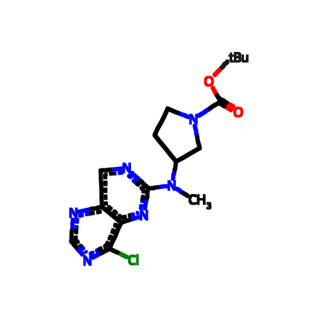 CN(c1ncc2ncnc(Cl)c2n1)C1CCN(C(=O)OC(C)(C)C)C1